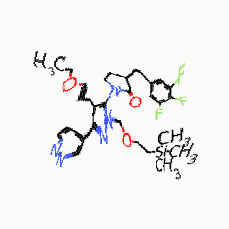 CCO/C=C/c1c(-c2ccnnc2)nn(COCC[Si](C)(C)C)c1N1CCC(Cc2cc(F)c(F)c(F)c2)C1=O